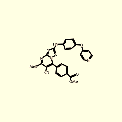 COC(=O)c1ccc(-c2c(C#N)c(SC)nc3nc(Nc4ccc(Oc5ccncc5)cc4)nn23)cc1